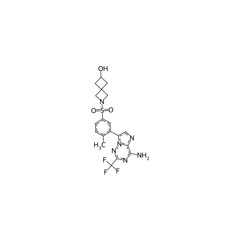 Cc1ccc(S(=O)(=O)N2CC3(CC(O)C3)C2)cc1-c1cnc2c(N)nc(C(F)(F)F)nn12